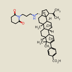 C=C(C)[C@@H]1CC[C@]2(CNCCCN3C(=O)CCCC3=O)CC[C@]3(C)[C@H](CC[C@@H]4[C@@]5(C)CC=C(c6ccc(C(=O)O)cc6)C(C)(C)[C@@H]5CC[C@]43C)[C@@H]12